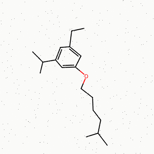 CCc1cc(OCCCCC(C)C)cc(C(C)C)c1